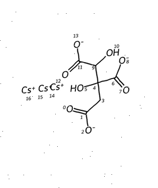 O=C([O-])CC(O)(C(=O)[O-])C(O)C(=O)[O-].[Cs+].[Cs+].[Cs+]